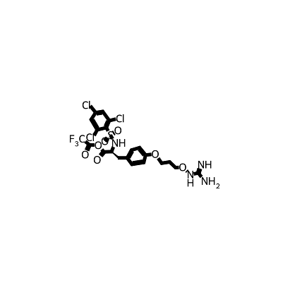 N=C(N)NOCCCOc1ccc(C[C@H](NS(=O)(=O)c2c(Cl)cc(Cl)cc2Cl)C(=O)OC(=O)C(F)(F)F)cc1